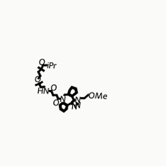 COCCCn1nnc2c1-c1ccccc1CN(C(=O)CCC(=O)NCCC(C)(C)OCCC(C)(C)C(=O)C(C)C)c1ccccc1-2